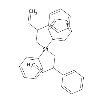 C=CC([CH2][Sn]([CH2]C(C=C)c1ccccc1)([c]1ccccc1)[c]1ccccc1)c1ccccc1